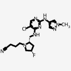 Cn1cc(Nc2ncc(Cl)c(NC[C@@H]3C[C@H](F)CN3CCCC#N)n2)cn1